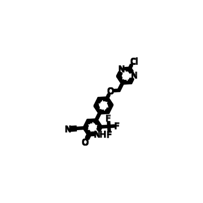 N#Cc1cc(-c2ccc(OCc3cnc(Cl)nc3)cc2)c(C(F)(F)F)[nH]c1=O